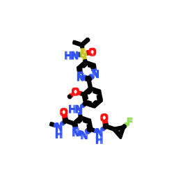 CNC(=O)c1nnc(NC(=O)C2CC2F)cc1Nc1cccc(-c2ncc(S(=N)(=O)C(C)C)cn2)c1OC